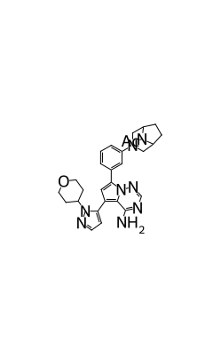 CC(=O)N1C2CCC1CN(c1cccc(-c3cc(-c4ccnn4C4CCOCC4)c4c(N)ncnn34)c1)C2